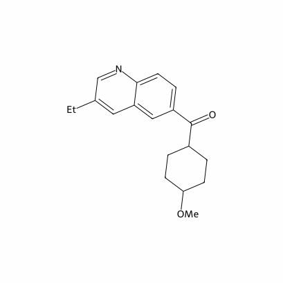 CCc1cnc2ccc(C(=O)C3CCC(OC)CC3)cc2c1